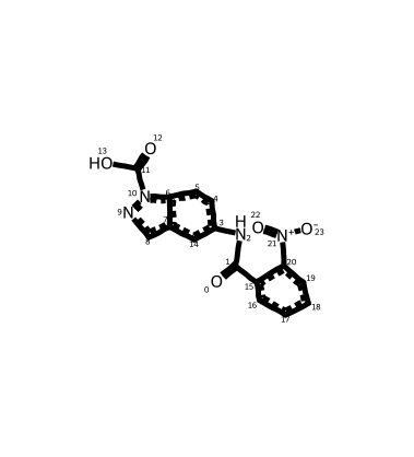 O=C(Nc1ccc2c(cnn2C(=O)O)c1)c1ccccc1[N+](=O)[O-]